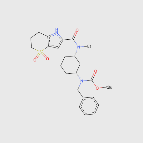 CCN(C(=O)c1cc2c([nH]1)CCCS2(=O)=O)[C@H]1CCC[C@@H](N(Cc2ccccc2)C(=O)OC(C)(C)C)C1